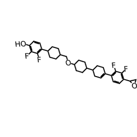 Oc1ccc(C2CCC(COC3CCC(C4CC=C(c5ccc(C6CO6)c(F)c5F)CC4)CC3)CC2)c(F)c1F